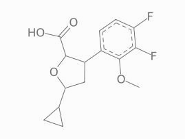 COc1c(C2CC(C3CC3)OC2C(=O)O)ccc(F)c1F